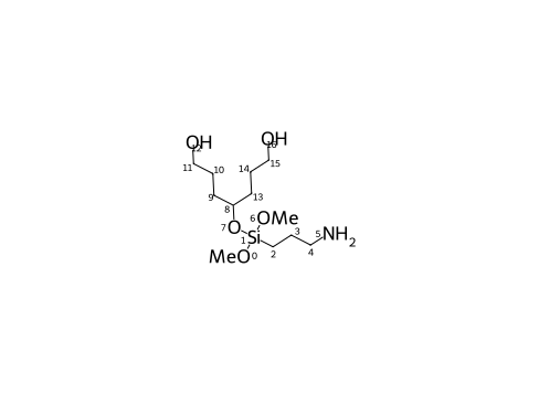 CO[Si](CCCN)(OC)OC(CCCO)CCCO